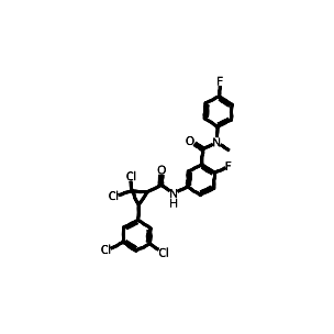 CN(C(=O)c1cc(NC(=O)C2C(c3cc(Cl)cc(Cl)c3)C2(Cl)Cl)ccc1F)c1ccc(F)cc1